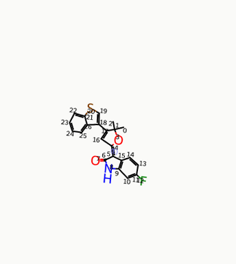 CC1(C)O/C(=C2/C(=O)Nc3cc(F)ccc32)C=C1c1csc2ccccc12